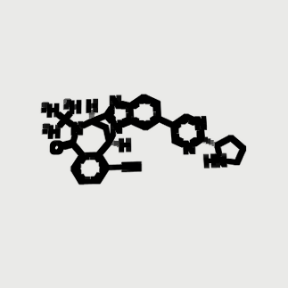 [2H]C([2H])([2H])N1C(=O)c2cccc(C#C)c2[C@H]2C[C@@H]1c1nc3ccc(-c4cnc([C@@H]5CCCN5)nc4)cc3n12